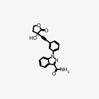 NC(=O)c1nn(-c2cccc(C#C[C@@]3(O)CCOC3=O)c2)c2ccccc12